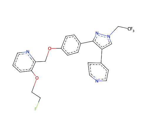 FCCOc1cccnc1COc1ccc(-c2nn(CC(F)(F)F)cc2-c2ccncc2)cc1